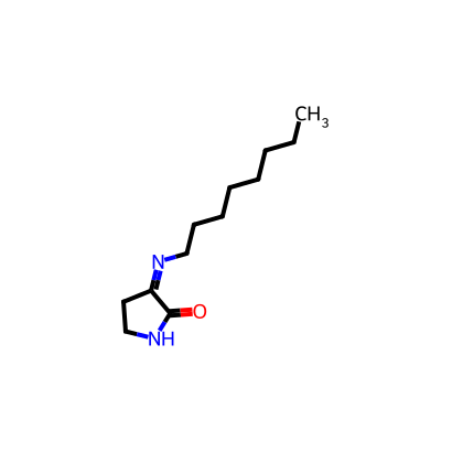 CCCCCCCCN=C1CCNC1=O